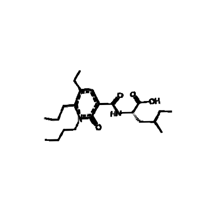 CCCCn1c(CCC)c(CC)cc(C(=O)N[C@@H](CC(C)CC)C(=O)O)c1=O